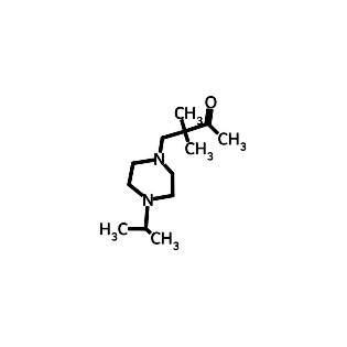 CC(=O)C(C)(C)CN1CCN(C(C)C)CC1